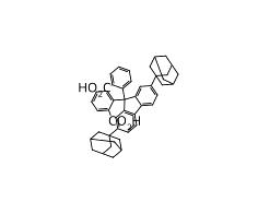 O=C(O)c1ccccc1C1(c2ccccc2C(=O)O)c2cc(C34CC5CC(CC(C5)C3)C4)ccc2-c2ccc(C34CC5CC(CC(C5)C3)C4)cc21